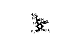 CCNC(=N)Nc1ccc(NC)c(CN)c1.Cl.Cl.Cl